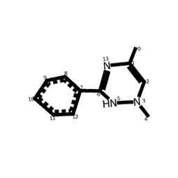 CC1=CN(C)NC(c2ccccc2)=N1